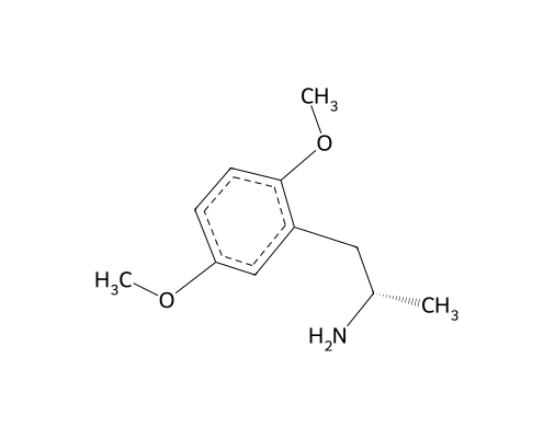 COc1ccc(OC)c(C[C@H](C)N)c1